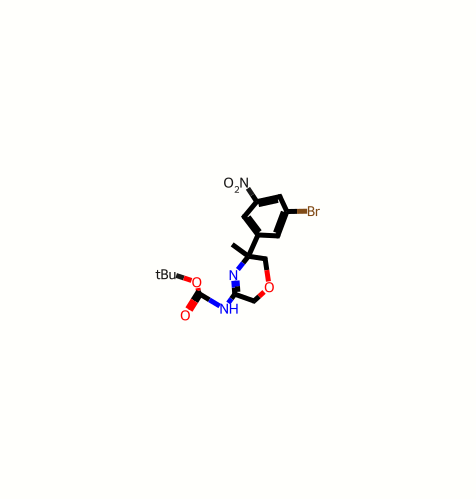 CC(C)(C)OC(=O)NC1=NC(C)(c2cc(Br)cc([N+](=O)[O-])c2)COC1